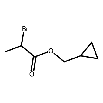 CC(Br)C(=O)OCC1CC1